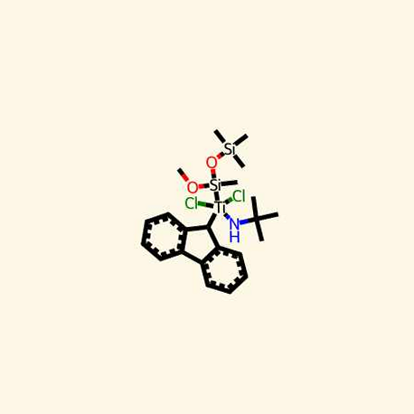 CO[Si](C)(O[Si](C)(C)C)[Ti]([Cl])([Cl])([NH]C(C)(C)C)[CH]1c2ccccc2-c2ccccc21